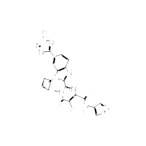 Cn1c(-c2nc3ccc(-c4nn[nH]n4)cc3n2C23CC(C2)C3)nc(C(=O)Nc2cnoc2)c(O)c1=O